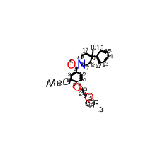 COc1cc(C(=O)N2CCC(C)(c3ccccc3)CC2)ccc1OCCOC(F)(F)F